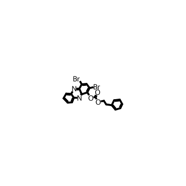 O=C(OCCc1ccccc1)Oc1c(Br)cc(Br)c2nc3ccccc3nc12